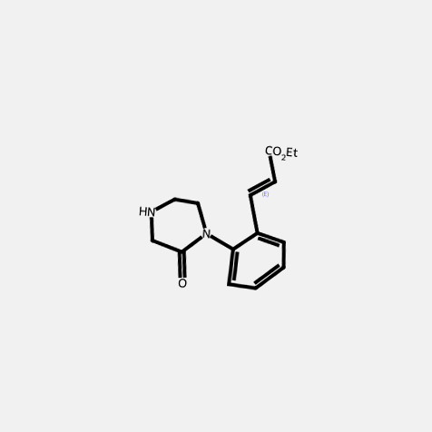 CCOC(=O)/C=C/c1ccccc1N1CCNCC1=O